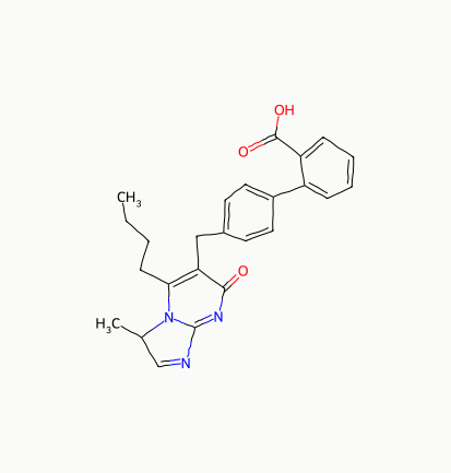 CCCCc1c(Cc2ccc(-c3ccccc3C(=O)O)cc2)c(=O)nc2n1C(C)C=N2